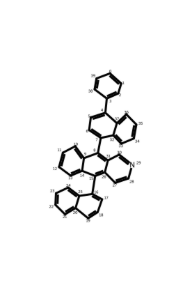 c1ccc(-c2ccc(-c3c4ccccc4c(-c4cccc5ccccc45)c4ccncc34)c3ccccc23)cc1